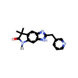 CCN1C(=O)C(C)(C)c2cc3nc(Cc4cccnc4)[nH]c3cc21